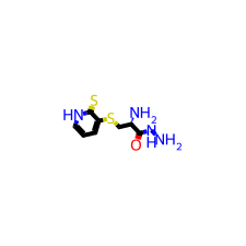 NNC(=O)[C@@H](N)CSc1ccc[nH]c1=S